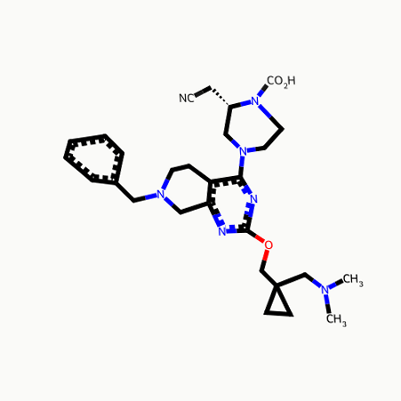 CN(C)CC1(COc2nc3c(c(N4CCN(C(=O)O)[C@@H](CC#N)C4)n2)CCN(Cc2ccccc2)C3)CC1